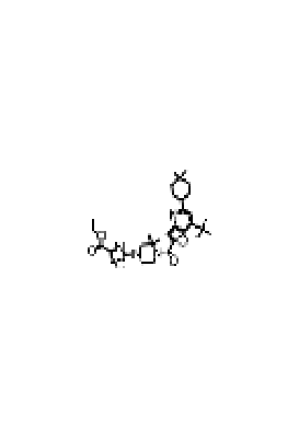 CCOC(=O)c1coc(N2CCN(C(=O)c3cc4nc(C5CCC(C)(C)CC5)cc(C(C)(C)C)c4o3)C(C)(C)C2)n1